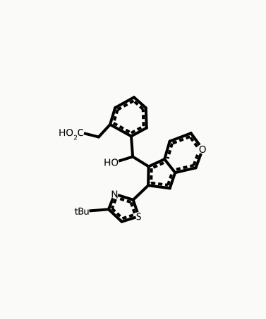 CC(C)(C)c1csc(-c2cc3coccc-3c2C(O)c2ccccc2CC(=O)O)n1